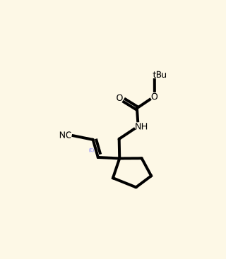 CC(C)(C)OC(=O)NCC1(/C=C/C#N)CCCC1